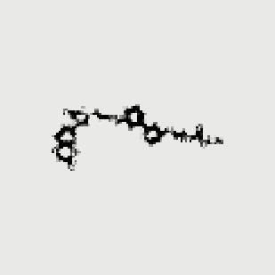 CC(C)(C)OC(=O)NCCOc1ccnc(-c2cccc(CNCC[C@H]3CN(c4ccc5c(n4)NC(=O)CO5)C(=O)O3)c2)c1